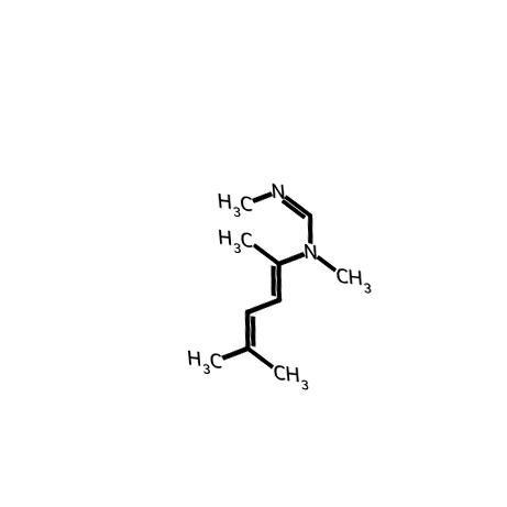 C/N=C\N(C)/C(C)=C/C=C(C)C